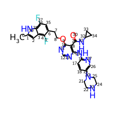 Cc1cc2c(F)c(CCOc3ncnc(Nc4ccc(N5CCNCC5)cn4)c3C(=O)NC3CC3)cc(F)c2[nH]1